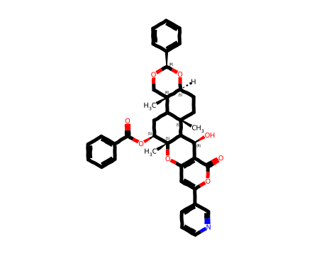 C[C@]12CC[C@@H]3O[C@H](c4ccccc4)OC[C@@]3(C)C1C[C@H](OC(=O)c1ccccc1)[C@@]1(C)Oc3cc(-c4cccnc4)oc(=O)c3[C@H](O)C21